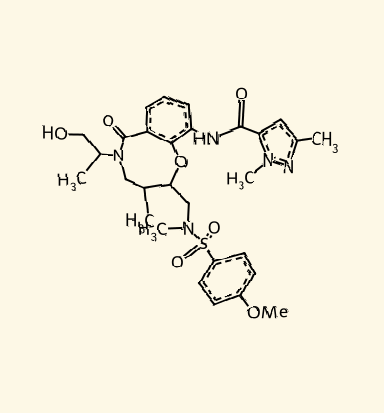 COc1ccc(S(=O)(=O)N(C)CC2Oc3c(NC(=O)c4cc(C)nn4C)cccc3C(=O)N(C(C)CO)CC2C)cc1